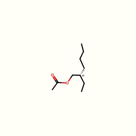 CCCC[C@H](CC)COC(C)=O